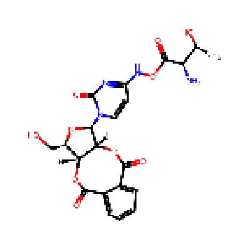 C[C@H](O)[C@@H](N)C(=O)ONc1ccn([C@@H]2O[C@H](CO)[C@H]3OC(=O)c4ccccc4C(=O)O[C@H]32)c(=O)n1